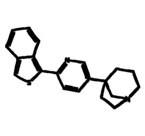 c1ccc2c(-c3ccc(C45CCCN(CC4)C5)cn3)scc2c1